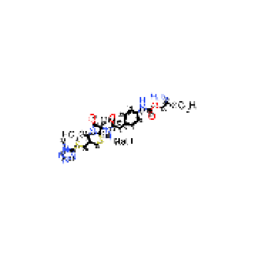 CO[C@@]1(NC(=O)Cc2ccc(NC(=O)OC[C@@H](N)C(=O)O)cc2)C(=O)N2C(C(=O)O)=C(CSc3nnnn3C)CS[C@@H]21.[NaH]